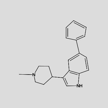 CN1CCC(c2c[nH]c3ccc(-c4ccccc4)cc23)CC1